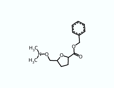 CN(C)OCC1CCC(C(=O)OCc2ccccc2)O1